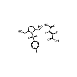 Cc1ccc(S(=O)(=O)N2C(CO)CCC2CO)cc1.O=C(O)/C(F)=C(\F)C(=O)O